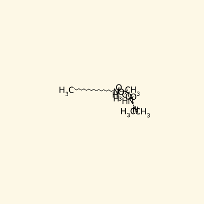 CCCCCCCCCCCCCCCCCCNC(=O)OCC(C)(C)COC(=O)NCCCN(C)C